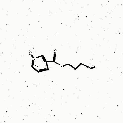 CCCCCOC(=O)c1ccc[n+]([O-])c1